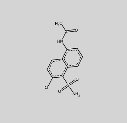 CC(=O)Nc1cccc2c(S(N)(=O)=O)c(Cl)ccc12